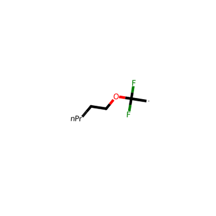 [CH2]C(F)(F)OCCCCC